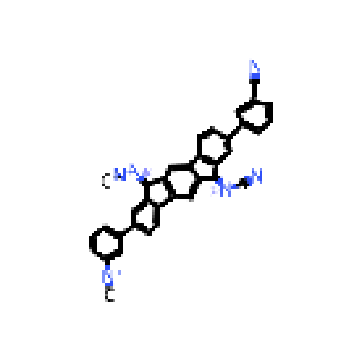 [C-]#[N+]/N=c1\c2cc(-c3cccc([N+]#[C-])c3)ccc2c2cc3/c(=N/C#N)c4cc(-c5cccc(C#N)c5)ccc4c3cc12